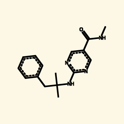 CNC(=O)c1cnc(NC(C)(C)Cc2ccccc2)nc1